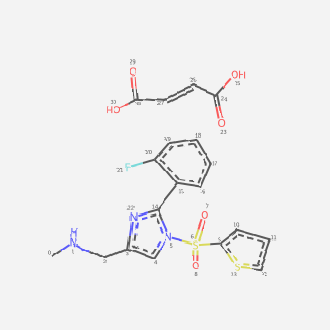 CNCc1cn(S(=O)(=O)c2cccs2)c(-c2ccccc2F)n1.O=C(O)C=CC(=O)O